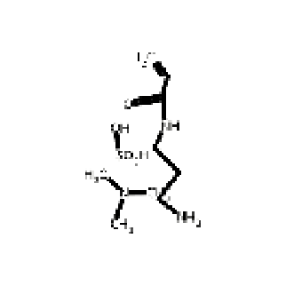 C=CC(=O)NCCCN.CN(C)C.O=S(=O)(O)O